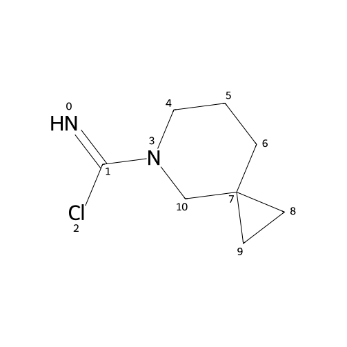 N=C(Cl)N1CCCC2(CC2)C1